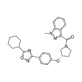 Cn1nc(C(=O)N2CC[C@H](Oc3ccc(-c4noc(C5CCCCC5)n4)cc3)C2)c2ccccc21